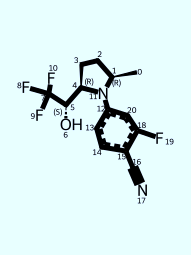 C[C@@H]1CC[C@H]([C@H](O)C(F)(F)F)N1c1ccc(C#N)c(F)c1